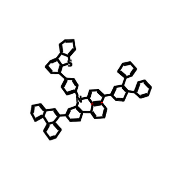 c1ccc(-c2ccc(-c3ccc(N(c4ccc(-c5cccc6c5sc5ccccc56)cc4)c4cc(-c5cc6ccccc6c6ccccc56)ccc4-c4ccccc4)cc3)cc2-c2ccccc2)cc1